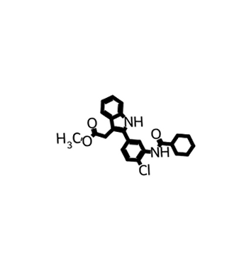 COC(=O)Cc1c(-c2ccc(Cl)c(NC(=O)C3CCCCC3)c2)[nH]c2ccccc12